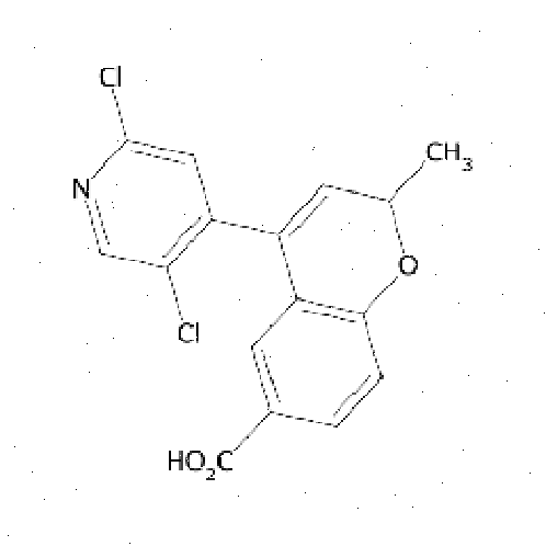 CC1C=C(c2cc(Cl)ncc2Cl)c2cc(C(=O)O)ccc2O1